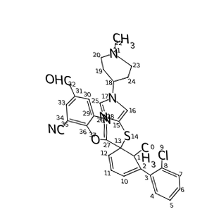 CC1C(c2ccccc2Cl)=CC=CC1(Sc1cn(C2CCN(C)CC2)cn1)c1nc2cc(C=O)cc(C#N)c2o1